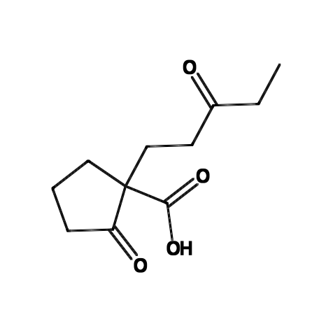 CCC(=O)CCC1(C(=O)O)CCCC1=O